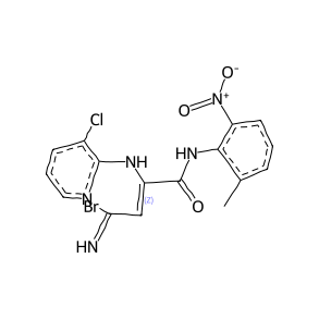 Cc1cccc([N+](=O)[O-])c1NC(=O)/C(=C/C(=N)Br)Nc1ncccc1Cl